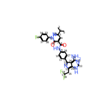 CC(C)c1cc(C(=O)Nc2ccc(-c3nc(CC(F)F)c4[nH]cnc(N)c3-4)cc2)c(=O)n(-c2ccc(F)cc2)n1